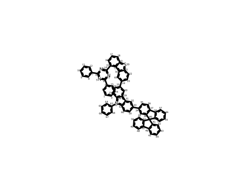 c1ccc(-c2nc(-c3ccccc3)nc(-c3cccc4sc5ccc(-c6ccc7c(c6)c6cc(-c8ccc9c(c8)C8(c%10ccccc%10-c%10ccccc%108)c8ccccc8-9)ccc6n7-c6ccccc6)cc5c34)n2)cc1